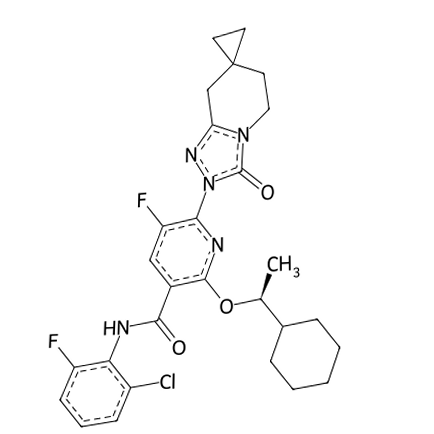 C[C@H](Oc1nc(-n2nc3n(c2=O)CCC2(CC2)C3)c(F)cc1C(=O)Nc1c(F)cccc1Cl)C1CCCCC1